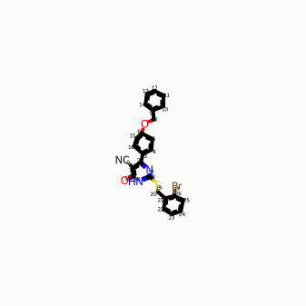 N#Cc1c(-c2ccc(OCc3ccccc3)cc2)nc(SCc2ccccc2Br)[nH]c1=O